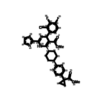 COC(=O)C1=C([C@H]2CC[C@H](c3ncc(C4(C(=O)OC)CC4)cn3)CC2)NC(c2nccs2)=NC1c1ccc(F)c(F)c1Cl